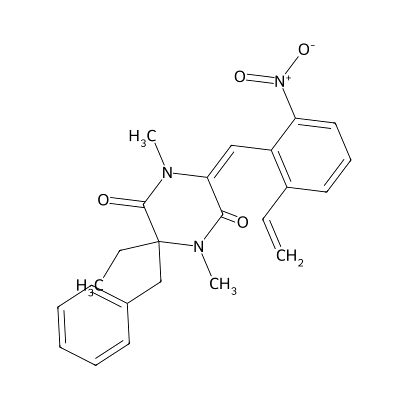 C=Cc1cccc([N+](=O)[O-])c1/C=C1\C(=O)N(C)C(CC)(Cc2ccccc2)C(=O)N1C